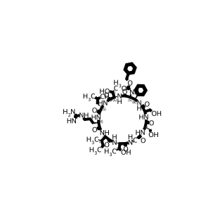 CC[C@H](C)[C@@H]1NC(=O)[C@@H](CCCNC(=N)N)NC(=O)[C@H](CC(C)C)NC(=O)[C@H]([C@@H](C)O)NC(=O)[C@@H](NC(=O)OCc2ccccc2)[C@@H](c2ccccc2)NC(=O)C(CO)NC(=O)[C@H](CO)NC(=O)CNC(=O)[C@H]([C@H](C)O)NC1=O